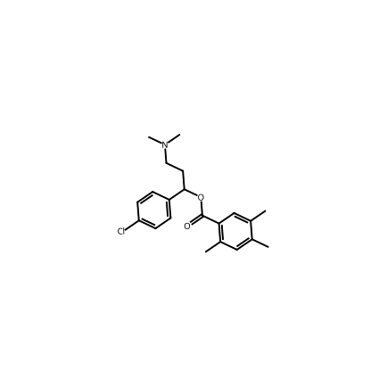 Cc1cc(C)c(C(=O)OC(CCN(C)C)c2ccc(Cl)cc2)cc1C